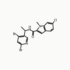 CC(NC(=O)c1cc2ccc(Cl)cc2n1C)c1cnc(Br)cc1Br